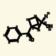 O=C(c1ccccc1)C12CC(C1)[C@H](O)C2